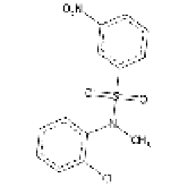 CN(c1ccccc1Cl)S(=O)(=O)c1cccc([N+](=O)[O-])c1